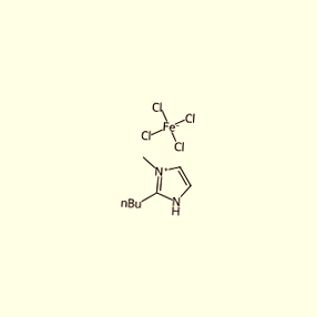 CCCCc1[nH]cc[n+]1C.[Cl][Fe-]([Cl])([Cl])[Cl]